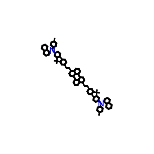 Cc1ccc(N(c2ccc3c(c2)C(C)(C)c2cc(/C=C/c4ccc5c6cccc7c(/C=C/c8ccc9c(c8)C(C)(C)c8cc(N(c%10ccc(C)cc%10)c%10cccc%11ccccc%10%11)ccc8-9)ccc(c8cccc4c85)c76)ccc2-3)c2cccc3ccccc23)cc1